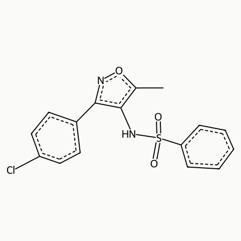 Cc1onc(-c2ccc(Cl)cc2)c1NS(=O)(=O)c1ccccc1